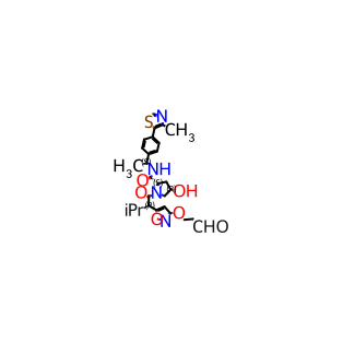 Cc1ncsc1-c1ccc([C@H](C)NC(=O)[C@@H]2C[C@@H](O)CN2C(=O)[C@@H](c2cc(OCCC=O)no2)C(C)C)cc1